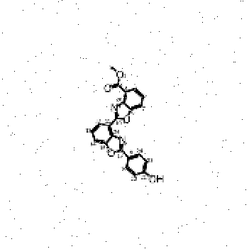 COC(=O)c1cccc2oc(-c3cccc4oc(-c5ccc(O)cc5)nc34)nc12